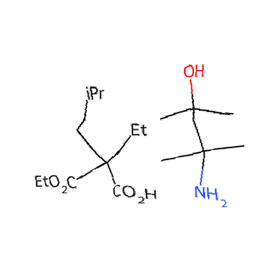 CC(C)(N)C(C)(C)O.CCOC(=O)C(CC)(CC(C)C)C(=O)O